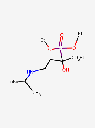 CCCCC(C)NCCC(O)(C(=O)OCC)P(=O)(OCC)OCC